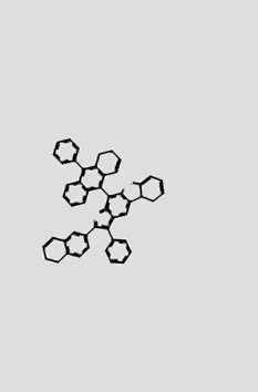 C1=CCC2C(=C1)Sc1c2cc2c(-c3ccccc3)c(-c3ccc4c(c3)C=CCC4)sc2c1-c1c2c(c(-c3ccccc3)c3ccccc13)CCC=C2